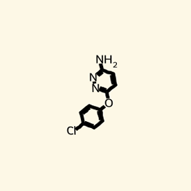 Nc1ccc(Oc2ccc(Cl)cc2)nn1